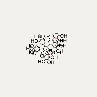 CC(Cc1ccc(O)c(O)c1)C(CC(c1ccc(O)c(O)c1)C(c1ccc(O)c(O)c1)C(c1ccc(O)c(O)c1)C(c1ccc(O)c(O)c1)C(C)(c1ccc(O)c(O)c1)C(C)c1ccc(O)c(O)c1)c1ccc(O)c(O)c1